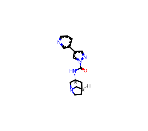 O=C(N[C@@H]1C[C@H]2CCN(C2)C1)n1cc(-c2cccnc2)cn1